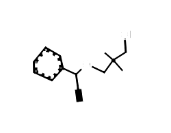 C#CC(OCC(C)(C)CO)c1ccccc1